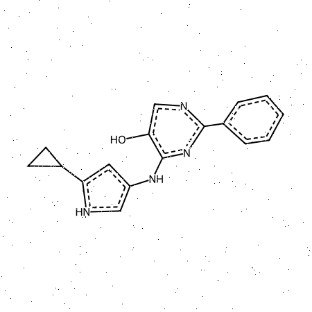 Oc1cnc(-c2ccccc2)nc1Nc1c[nH]c(C2CC2)c1